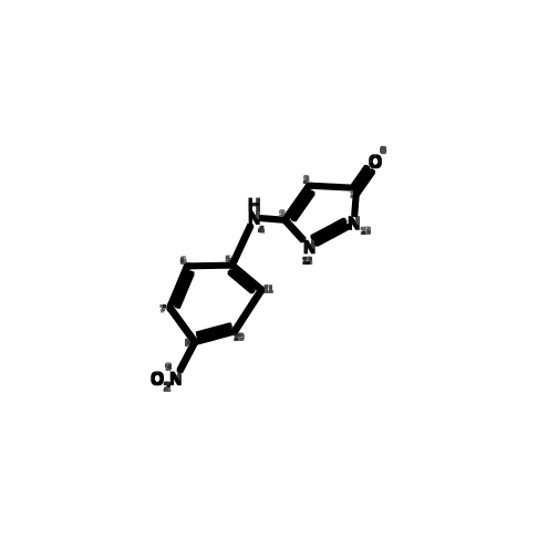 O=C1C=C(Nc2ccc([N+](=O)[O-])cc2)N=N1